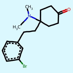 CN(C)C1(CCc2cccc(Br)c2)CCC(=O)CC1